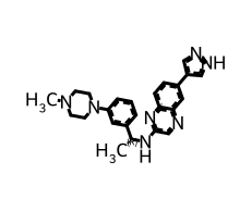 C[C@@H](Nc1cnc2cc(-c3cn[nH]c3)ccc2n1)c1cccc(N2CCN(C)CC2)c1